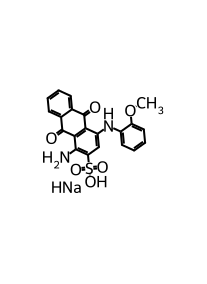 COc1ccccc1Nc1cc(S(=O)(=O)O)c(N)c2c1C(=O)c1ccccc1C2=O.[NaH]